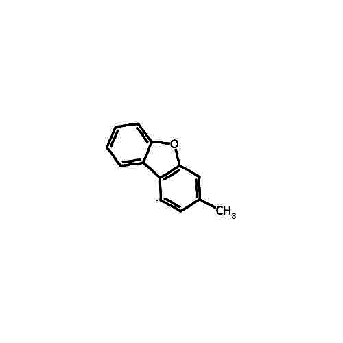 Cc1c[c]c2c(c1)oc1ccccc12